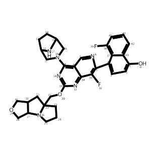 Oc1ccc(-c2ncc3c(N4CC5CCC(C4)N5)nc(OCC45CCCN4C4COCC4C5)nc3c2F)c2c(F)cccc12